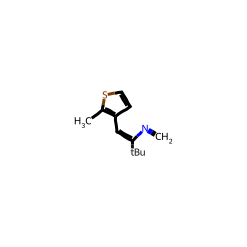 C=N/C(=C\c1ccsc1C)C(C)(C)C